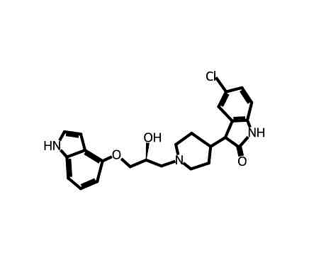 O=C1Nc2ccc(Cl)cc2C1C1CCN(C[C@H](O)COc2cccc3[nH]ccc23)CC1